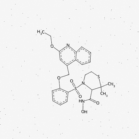 CCOc1cc(COc2ccccc2S(=O)(=O)N2CCSC(C)(C)C2C(=O)NO)c2ccccc2n1